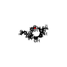 C=CC(=O)N1CC[C@H](C(=O)N(C)[C@H](C(=O)N[C@H]2Cc3cc(O)cc(c3)-c3ccc4c(c3)c(c(-c3csc(N(C)C)n3)n4CC)CC(C)(C)COC(=O)[C@@H]3CCCN(N3)C2=O)C(C)C)C1